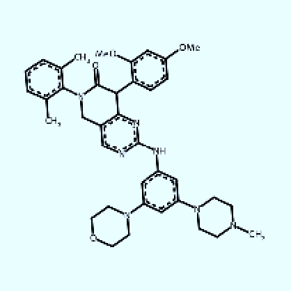 COc1ccc(C2C(=O)N(c3c(C)cccc3C)Cc3cnc(Nc4cc(N5CCOCC5)cc(N5CCN(C)CC5)c4)nc32)c(OC)c1